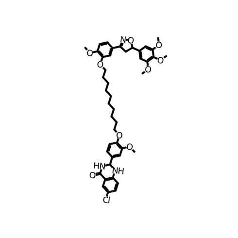 COc1cc(C2NC(=O)c3cc(Cl)ccc3N2)ccc1OCCCCCCCCCCOc1cc(C2=NOC(c3cc(OC)c(OC)c(OC)c3)C2)ccc1OC